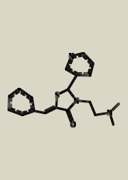 CN(C)CCN1C(=O)/C(=C/c2ccccc2)SC1c1cccnc1